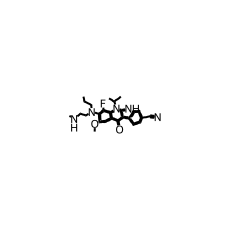 CCCN(CCNC)c1c(OC)cc2c(=O)c3c4ccc(C#N)cc4[nH]c3n(C(C)C)c2c1F